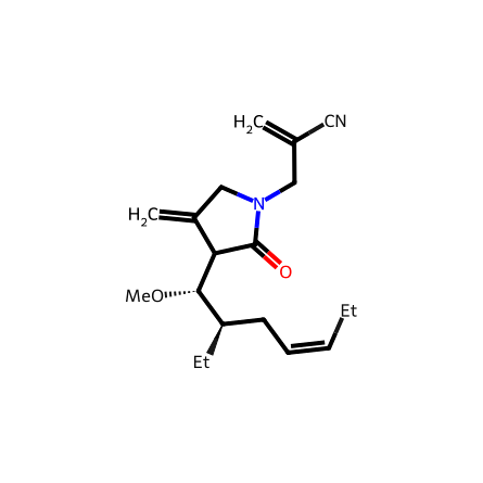 C=C(C#N)CN1CC(=C)C([C@@H](OC)[C@H](CC)C/C=C\CC)C1=O